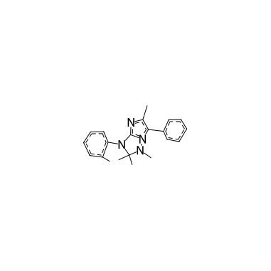 Cc1ccccc1N1c2nc(C)c(-c3ccccc3)n2N(C)C1(C)C